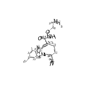 Cc1ccc(Nc2nc(C#N)ccc2C(=O)NOCCN)c(F)c1